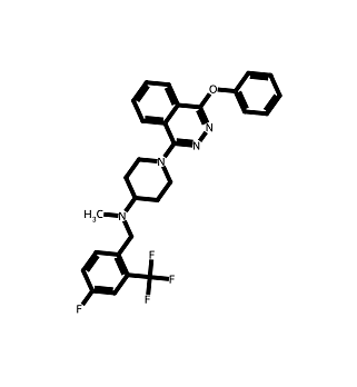 CN(Cc1ccc(F)cc1C(F)(F)F)C1CCN(c2nnc(Oc3ccccc3)c3ccccc23)CC1